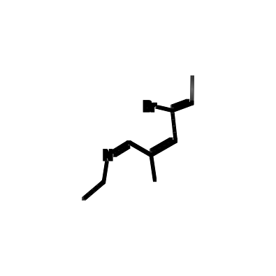 C/C=C(Br)/C=C(C)\C=N/CC